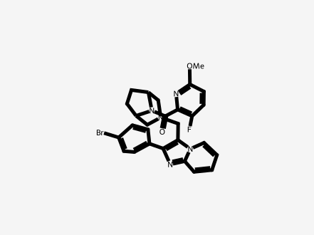 COc1ccc(F)c(C(=O)N2C3CCC2CN(Cc2c(-c4ccc(Br)cc4)nc4ccccn24)C3)n1